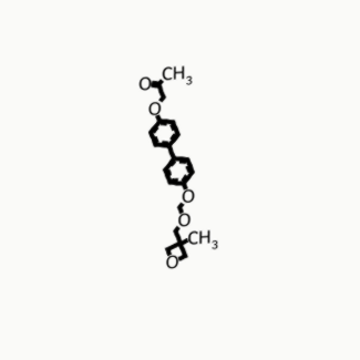 CC(=O)COc1ccc(-c2ccc(OCOCC3(C)COC3)cc2)cc1